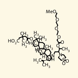 C=C(C)[C@@H]1CC[C@]2(NCC(C(C)OC(=O)COCCOCCOCCOC)N3CCS(=O)(=O)CC3)CC[C@]3(C)[C@H](CC[C@@H]4[C@@]5(C)CC[C@H](OC(=O)CC(C)(C)CC(=O)O)C(C)(C)[C@@H]5CC[C@]43C)[C@@H]12